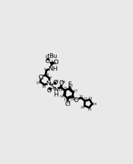 CC(C)(C)OC(=O)NCC1CN(S(=O)(=O)NC(=O)c2cc(Cl)c(OCC3CCCC3)cc2F)CCO1